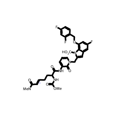 CNC(=O)/C=C/CCC(NC(=O)OC)C(=O)Nc1cccn(Cc2cc3cc(F)cc(OCc4ccc(F)cc4F)c3n2C(=O)O)c1=O